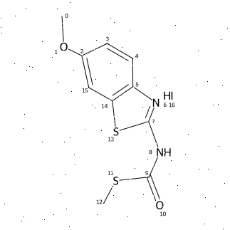 COc1ccc2nc(NC(=O)SC)sc2c1.I